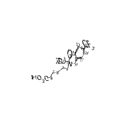 CCC(C)C(=O)N(CCCCCC(=O)O)Cc1ccc(C(F)(F)F)cc1